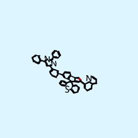 c1ccc(-c2cc(-c3cccc(-c4ccc5c(c4)C4(c6ccccc6Sc6ccccc64)c4cc(-c6cccc7cccnc67)ccc4-5)c3)nc(-c3ccccc3)n2)cc1